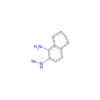 [2H]Nc1ccc2ccccc2c1N